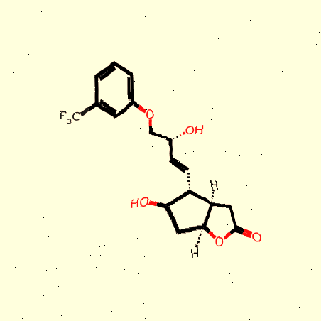 O=C1C[C@H]2[C@H](CC(O)[C@@H]2/C=C/[C@@H](O)COc2cccc(C(F)(F)F)c2)O1